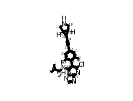 CC(C)[C@@H](C)Nc1c(-c2c(F)cc(C#CC3[C@H]4CNC[C@@H]34)cc2F)c(Cl)nc2ncnn12